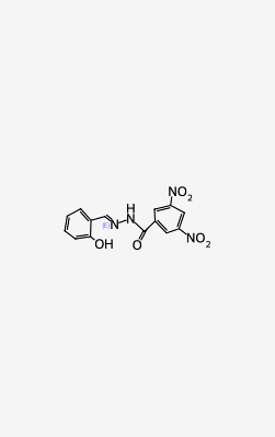 O=C(N/N=C/c1ccccc1O)c1cc([N+](=O)[O-])cc([N+](=O)[O-])c1